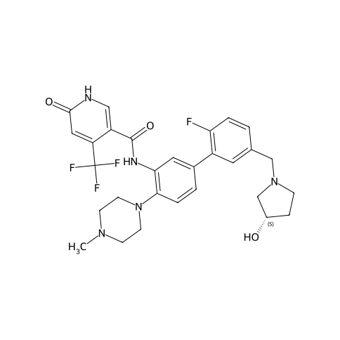 CN1CCN(c2ccc(-c3cc(CN4CC[C@H](O)C4)ccc3F)cc2NC(=O)c2c[nH]c(=O)cc2C(F)(F)F)CC1